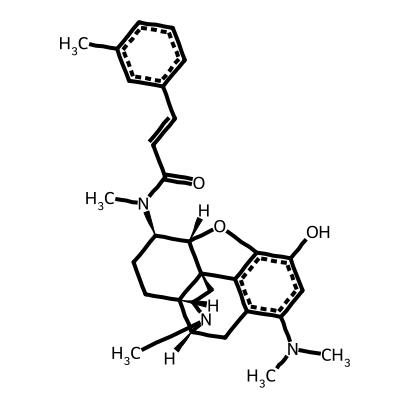 Cc1cccc(C=CC(=O)N(C)[C@@H]2CC[C@H]3[C@H]4Cc5c(N(C)C)cc(O)c6c5[C@@]3(CCN4C)[C@H]2O6)c1